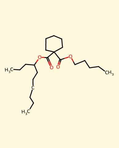 CCCCCCC(CCC)OC(=O)C1(C(=O)OCCCCC)CCCCC1